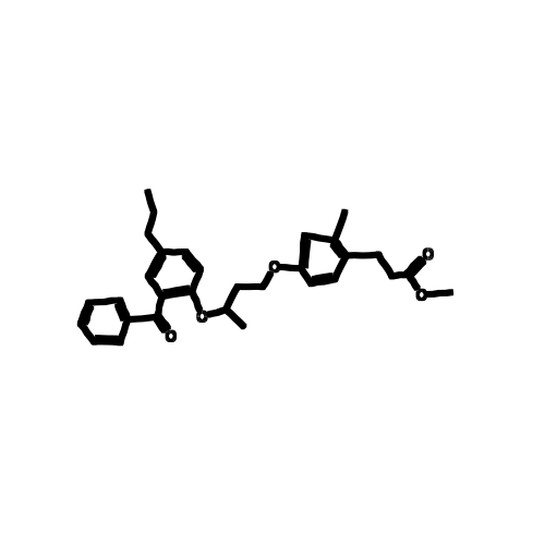 CCCc1ccc(OC(C)CCOc2ccc(CCC(=O)OC)c(C)c2)c(C(=O)c2ccccc2)c1